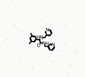 Cc1cc(C)cc(C(NCc2cccnc2)C(=O)NCc2cccnc2)c1